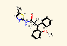 COc1ccccc1C(c1ccccc1)C(C)(C)C(=O)Nc1ncc(C)s1